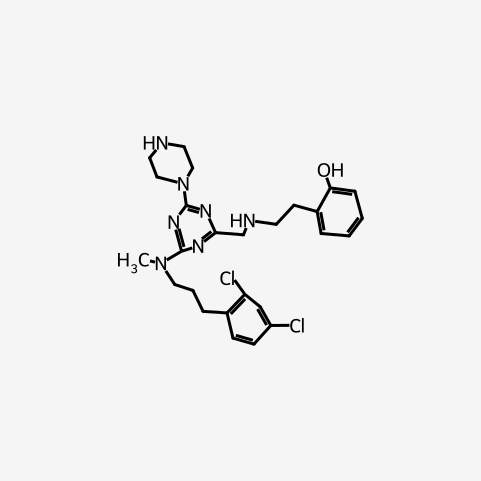 CN(CCCc1ccc(Cl)cc1Cl)c1nc(CNCCc2ccccc2O)nc(N2CCNCC2)n1